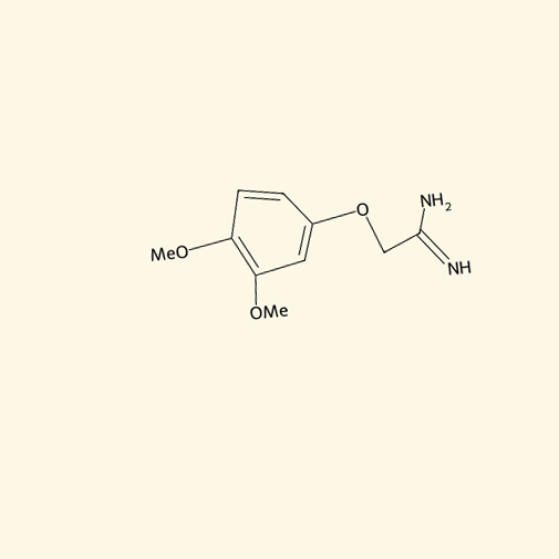 COc1ccc(OCC(=N)N)cc1OC